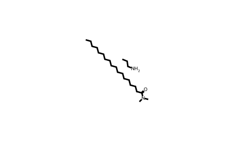 CCCCCCCCCCCCCCCCCC(=O)N(C)C.CCCN